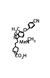 CNC.Cc1c(OCc2ccc(C#N)cc2)ccc2c(CCC3CCN(C(=O)O)CC3)noc12